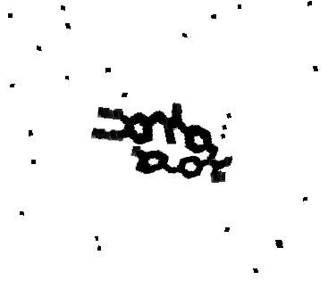 COc1ccc(CNC(=O)c2ccc(CN(C(=O)C(C)(C)C)C3CCN(Cc4ccc(F)cc4)CC3)cc2)cc1OC